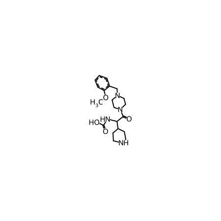 COc1ccccc1CN1CCN(C(=O)C(NC(=O)O)C2CCNCC2)CC1